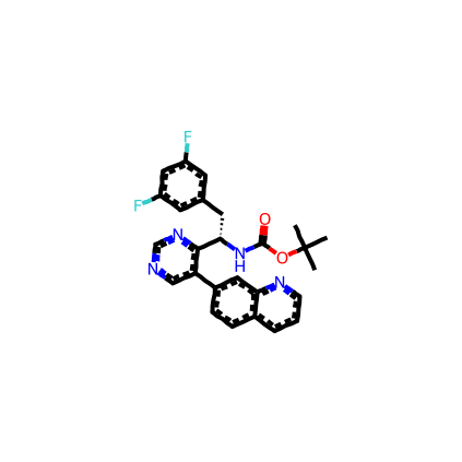 CC(C)(C)OC(=O)N[C@@H](Cc1cc(F)cc(F)c1)c1ncncc1-c1ccc2cccnc2c1